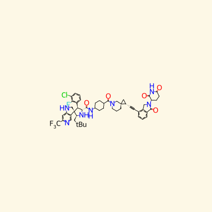 CC(C)(C)C[C@@H]1N[C@@H](C(=O)NC2CCC(C(=O)N3CCC[C@]4(C[C@@H]4C#Cc4cccc5c4CN(C4CCC(=O)NC4=O)C5=O)C3)CC2)[C@H](c2cccc(Cl)c2F)[C@]12CNc1cc(C(F)(F)F)ncc12